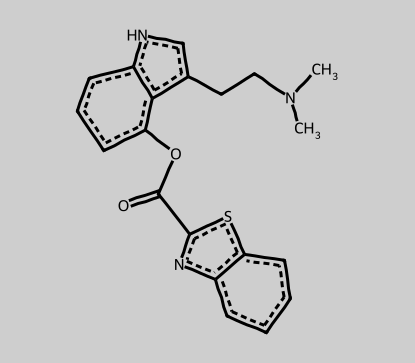 CN(C)CCc1c[nH]c2cccc(OC(=O)c3nc4ccccc4s3)c12